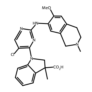 COc1cc2c(cc1Nc1ncc(Cl)c(N3CC(C)(C(=O)O)c4ccccc43)n1)CN(C)CC2